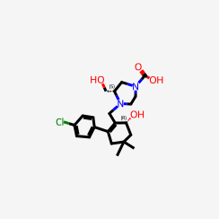 CC1(C)CC(c2ccc(Cl)cc2)=C(CN2CCN(C(=O)O)C[C@H]2CO)[C@H](O)C1